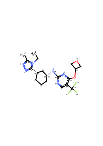 CCn1c(C)nnc1[C@H]1CCC[C@@H](Nc2ncc(C(F)(F)F)c(OC3COC3)n2)C1